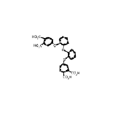 O=C(O)c1ccc(Oc2ccccc2Oc2ccccc2Oc2ccc(C(=O)O)c(C(=O)O)c2)cc1C(=O)O